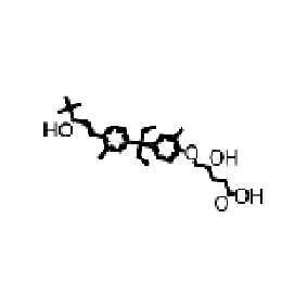 CCC(CC)(c1ccc(/C=C/C(O)C(C)(C)C)c(C)c1)c1ccc(OC[C@@H](O)CCC(=O)O)c(C)c1